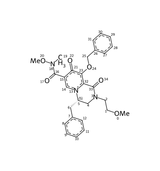 COCCN1C[C@H](Cc2ccccc2)n2cc(C(=O)N(C)OC)c(=O)c(OCc3ccccc3)c2C1=O